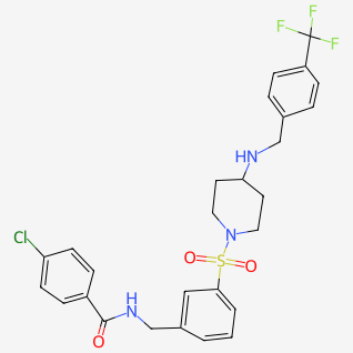 O=C(NCc1cccc(S(=O)(=O)N2CCC(NCc3ccc(C(F)(F)F)cc3)CC2)c1)c1ccc(Cl)cc1